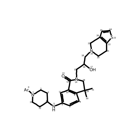 CC(=O)N1CCC(Nc2ccc3c(c2)C(=O)N(CC(O)CN2CCc4sccc4C2)CC3(C)C)CC1